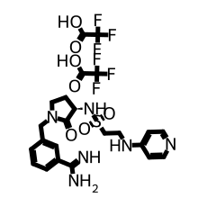 N=C(N)c1cccc(CN2CC[C@H](NS(=O)(=O)CCNc3ccncc3)C2=O)c1.O=C(O)C(F)(F)F.O=C(O)C(F)(F)F